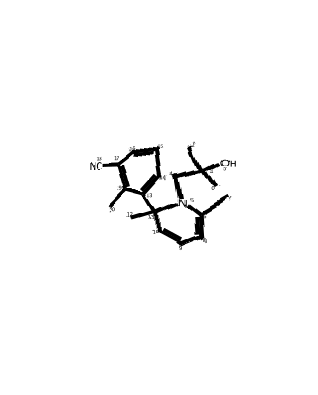 [CH2]C(C)(O)CN1C(C)=CC=CC1(C)c1cccc(C#N)c1C